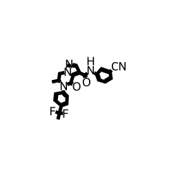 CC1Cn2ncc(C(=O)Nc3cccc(C#N)c3)c2C(=O)N1c1ccc(C(C)(F)F)cc1